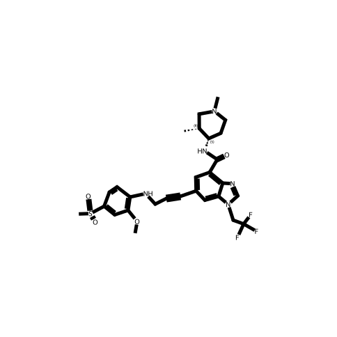 COc1cc(S(C)(=O)=O)ccc1NCC#Cc1cc(C(=O)N[C@H]2CCN(C)C[C@H]2C)c2ncn(CC(F)(F)F)c2c1